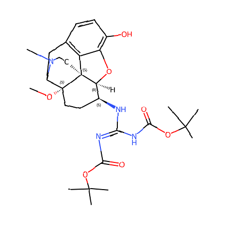 CO[C@@]12CC[C@H](NC(=NC(=O)OC(C)(C)C)NC(=O)OC(C)(C)C)[C@@H]3Oc4c(O)ccc5c4[C@@]31CCN(C)C2C5